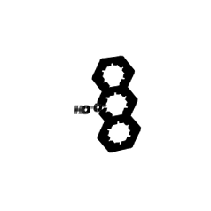 [OH-].c1ccc2[o+]c3ccccc3cc2c1